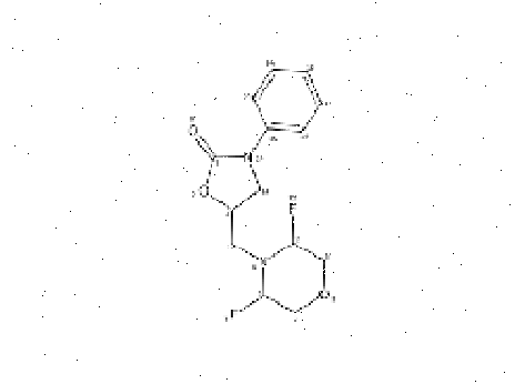 O=C1OC([CH]N2C(F)COCC2F)CN1c1ccccc1